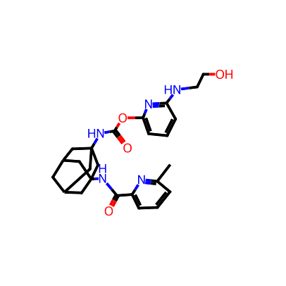 Cc1cccc(C(=O)NC23CC4CC(CC(NC(=O)Oc5cccc(NCCO)n5)(C4)C2)C3)n1